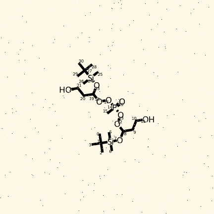 CC(C)(C)[Si](C)(C)OC(CCO)OOP(C)(=O)OOC(CCO)O[Si](C)(C)C(C)(C)C